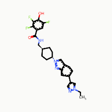 CCn1cc(-c2ccc3cn([C@H]4CC[C@H](CNC(=O)c5cc(F)c(O)c(F)c5F)CC4)nc3c2)cn1